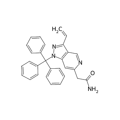 C=Cc1nn(C(c2ccccc2)(c2ccccc2)c2ccccc2)c2cc(CC(N)=O)ncc12